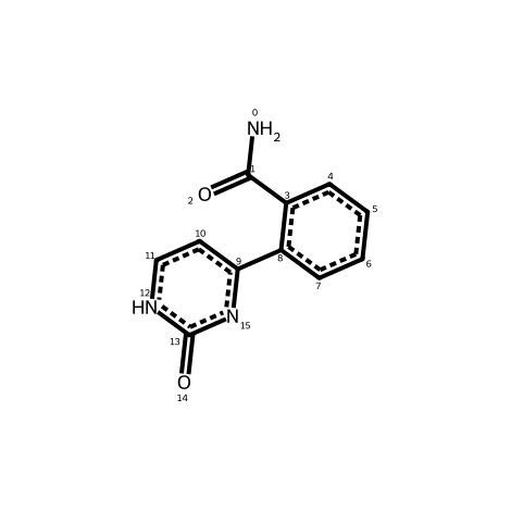 NC(=O)c1ccccc1-c1cc[nH]c(=O)n1